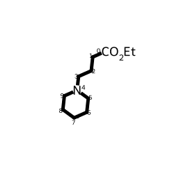 CCOC(=O)CCCN1CC[CH]CC1